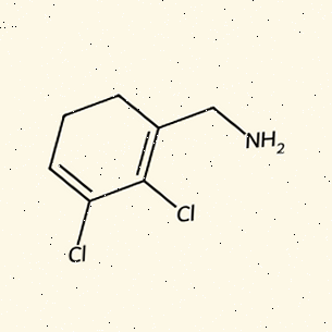 NCC1=C(Cl)C(Cl)=CCC1